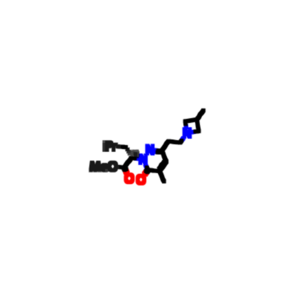 COC(=O)[C@H](CC(C)C)n1nc(CCN2CC(C)C2)cc(C)c1=O